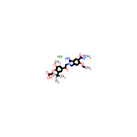 Br.CCOc1cc2c(cc1C(=O)NC)C(=N)N(CC(=O)c1cc(OC)c(OCC(=O)O)c(C(C)(C)C)c1)C2